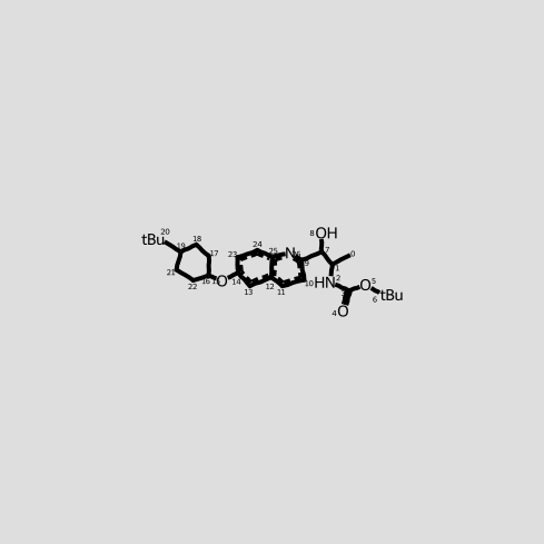 CC(NC(=O)OC(C)(C)C)C(O)c1ccc2cc(OC3CCC(C(C)(C)C)CC3)ccc2n1